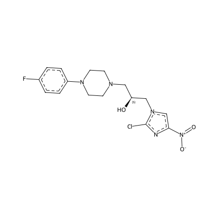 O=[N+]([O-])c1cn(C[C@@H](O)CN2CCN(c3ccc(F)cc3)CC2)c(Cl)n1